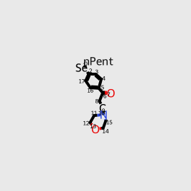 CCCCC[Se]c1ccc(C(=O)CCN2CCOCC2)cc1